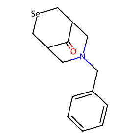 O=C1C2C[Se]CC1CN(Cc1ccccc1)C2